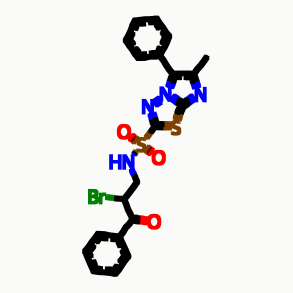 Cc1nc2sc(S(=O)(=O)NCC(Br)C(=O)c3ccccc3)nn2c1-c1ccccc1